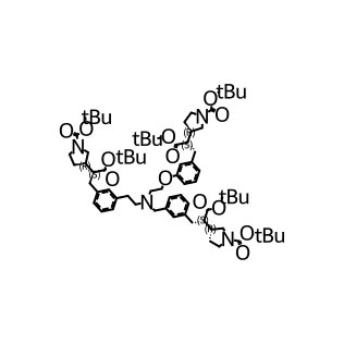 CC(C)(C)OC(=O)[C@@H](Cc1cccc(CCN(CCOc2cccc(C[C@H](C(=O)OC(C)(C)C)[C@H]3CCN(C(=O)OC(C)(C)C)C3)c2)Cc2cccc(C[C@H](C(=O)OC(C)(C)C)[C@H]3CCN(C(=O)OC(C)(C)C)C3)c2)c1)[C@H]1CCN(C(=O)OC(C)(C)C)C1